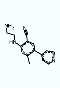 Cc1nc(NCCN)c(C#N)cc1-c1ccncc1